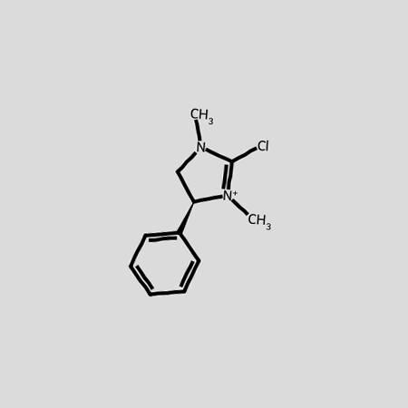 CN1C[C@H](c2ccccc2)[N+](C)=C1Cl